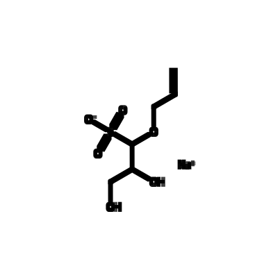 C=CCOC(C(O)CO)S(=O)(=O)[O-].[Na+]